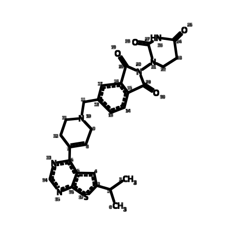 CC(C)c1cc2c(C3=CCN(Cc4ccc5c(c4)C(=O)N(N4CCC(=O)NC4=O)C5=O)CC3)ncnc2s1